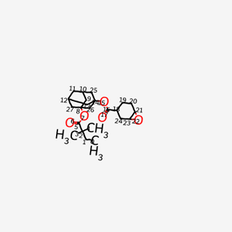 CCC(C)(C)C(=O)OC12CC3CC(CC(OC(=O)C4CCC5OC5C4)(C3)C1)C2